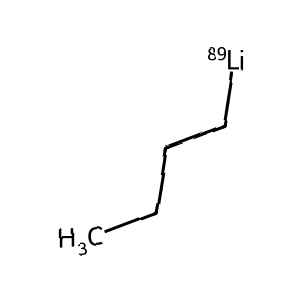 [89Li][CH2]CCC